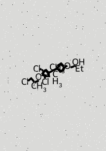 CC[C@@H](O)COc1ccc(C(C)(C)c2cc(Cl)c(OC[C@H](C)CCl)c(Cl)c2)cc1